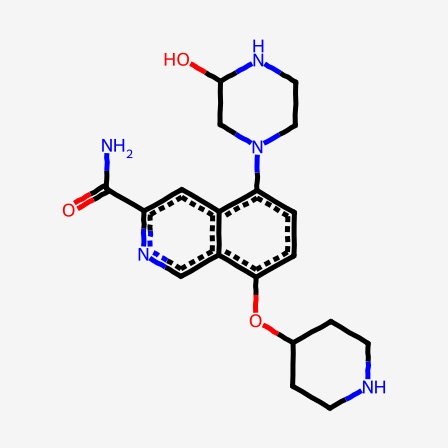 NC(=O)c1cc2c(N3CCNC(O)C3)ccc(OC3CCNCC3)c2cn1